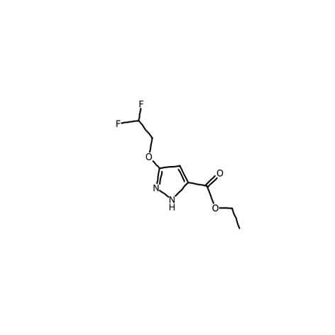 CCOC(=O)c1cc(OCC(F)F)n[nH]1